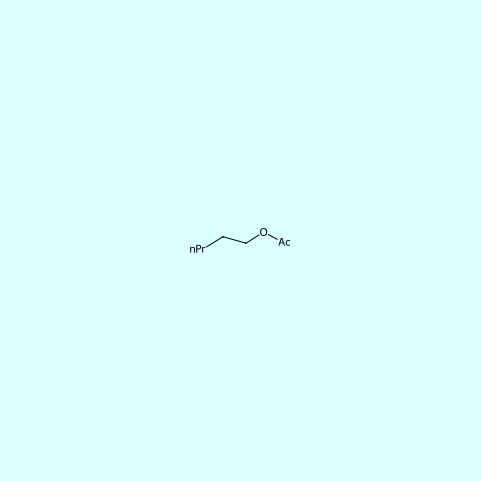 CCCCCOC(C)=O